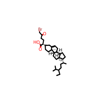 CCC(CCC(C)[C@H]1CC[C@H]2[C@@H]3CC=C4C[C@@H](C(CCC(=O)CBr)C(=O)O)CC[C@]4(C)[C@H]3CC[C@]12C)C(C)C